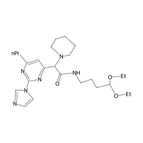 CCCc1cc(C(C(=O)NCCCC(OCC)OCC)N2CCCCC2)nc(-n2ccnc2)n1